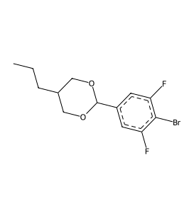 CCCC1COC(c2cc(F)c(Br)c(F)c2)OC1